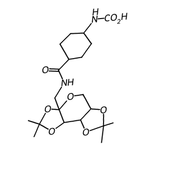 CC1(C)OC2COC3(CNC(=O)C4CCC(NC(=O)O)CC4)OC(C)(C)OC3C2O1